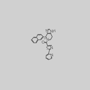 O=C(c1cnc(-c2ccccn2)s1)N1CCc2[nH]cnc2[C@@H]1c1ccc2ccccc2c1